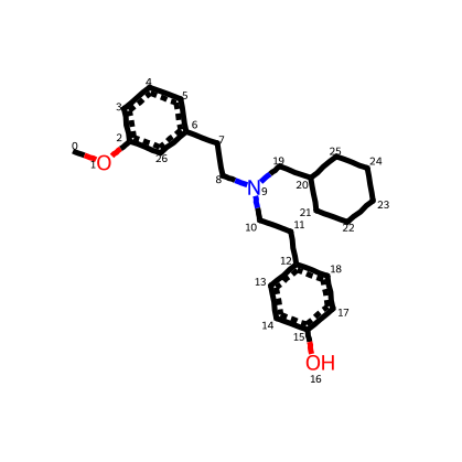 COc1cccc(CCN(CCc2ccc(O)cc2)CC2CCCCC2)c1